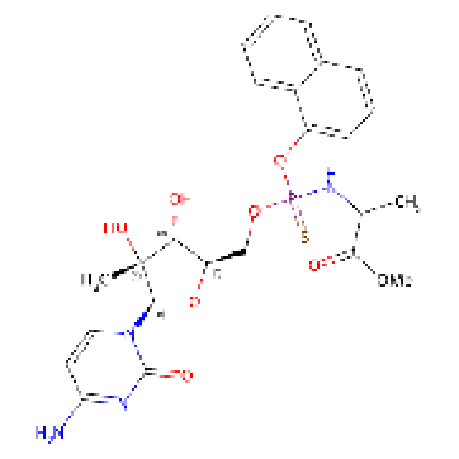 COC(=O)C(C)NP(=S)(OC[C@H]1O[C@@H](n2ccc(N)nc2=O)[C@](C)(O)[C@@H]1O)Oc1cccc2ccccc12